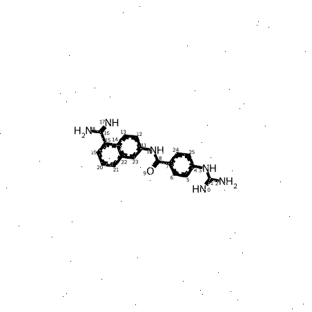 N=C(N)Nc1ccc(C(=O)Nc2ccc3c(C(=N)N)cccc3c2)cc1